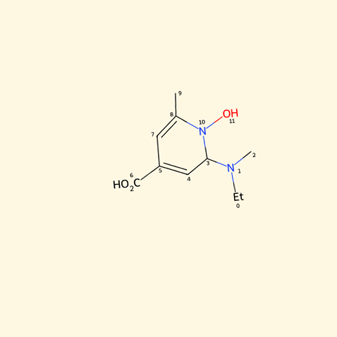 CCN(C)C1C=C(C(=O)O)C=C(C)N1O